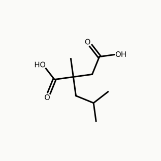 CC(C)CC(C)(CC(=O)O)C(=O)O